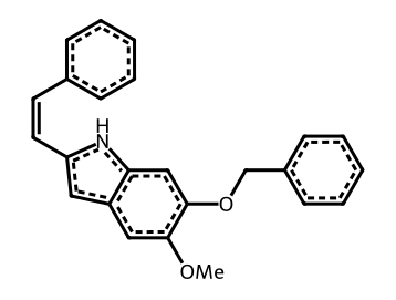 COc1cc2cc(/C=C\c3ccccc3)[nH]c2cc1OCc1ccccc1